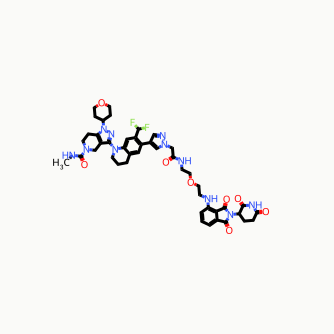 CNC(=O)N1CCc2c(c(N3CCCc4cc(-c5cnn(CC(=O)NCCOCCNc6cccc7c6C(=O)N(C6CCC(=O)NC6=O)C7=O)c5)c(C(F)F)cc43)nn2C2CCOCC2)C1